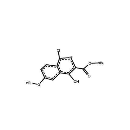 CCCCOC(=O)c1nc(Cl)c2ccc(OCCCC)cc2c1O